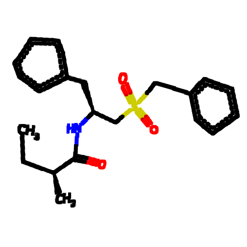 CC[C@H](C)C(=O)N[C@@H](Cc1ccccc1)CS(=O)(=O)Cc1ccccc1